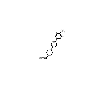 CCCCCC1CCC(c2ccc(-c3cc(F)c(C(F)(F)F)c(F)c3)nc2)CC1